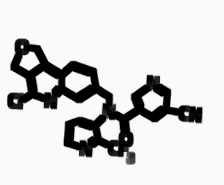 N#Cc1cncc(C(=O)N(Cc2ccc3c4c(c(Cl)nc3c2)COC4)c2cccnc2C(F)(F)F)c1